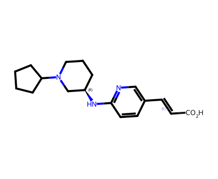 O=C(O)/C=C/c1ccc(N[C@@H]2CCCN(C3CCCC3)C2)nc1